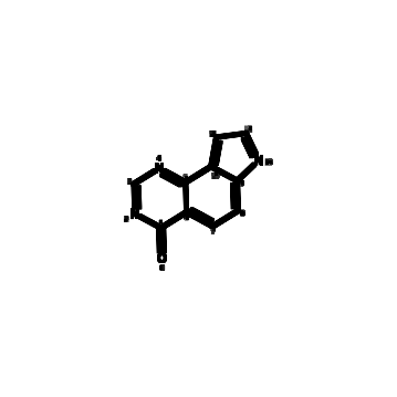 O=C1N=CN=c2c1ccc1c2=CC=N1